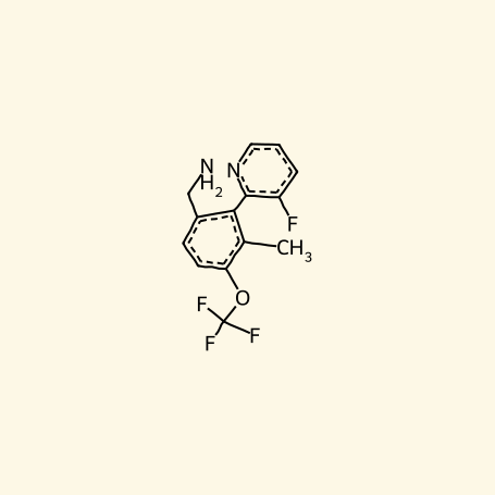 Cc1c(OC(F)(F)F)ccc(CN)c1-c1ncccc1F